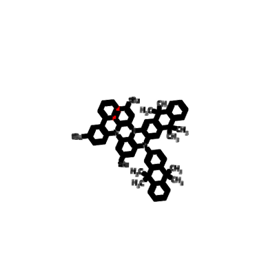 CC(C)(C)c1ccc2c(c1)B1c3cc4c(cc3N(c3ccc5c(c3)C(C)(C)c3ccccc3C5(C)C)c3cc(C(C)(C)C)cc(c31)N2c1ccc(C(C)(C)C)cc1-c1ccccc1)C(C)(C)c1ccccc1C4(C)C